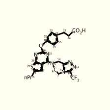 CCCc1cc2c(N3CCn4c(nnc4C(F)(F)F)C3)nc(Oc3ccc(CCC(=O)O)cc3)nc2s1